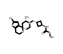 CCc1cc2c(s1)CCO[C@@]21CCN(C[C@H]2C[C@H](NC(=O)OC(C)(C)C)C2)[C@@H](C)C1